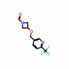 O=CN1CC(OCc2ccc(C(F)(F)F)nc2)C1